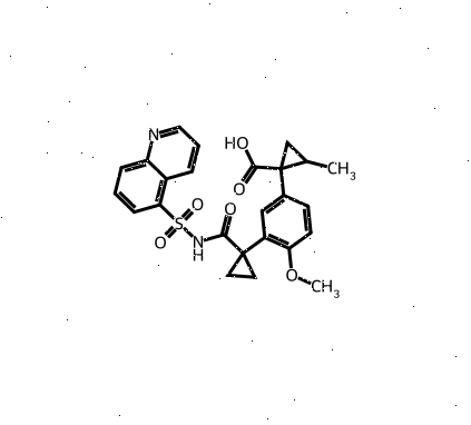 COc1ccc(C2(C(=O)O)CC2C)cc1C1(C(=O)NS(=O)(=O)c2cccc3ncccc23)CC1